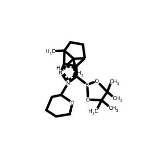 CC1(C)OB(c2c3c(nn2C2CCCCO2)C2(C)CCC3C2(C)C)OC1(C)C